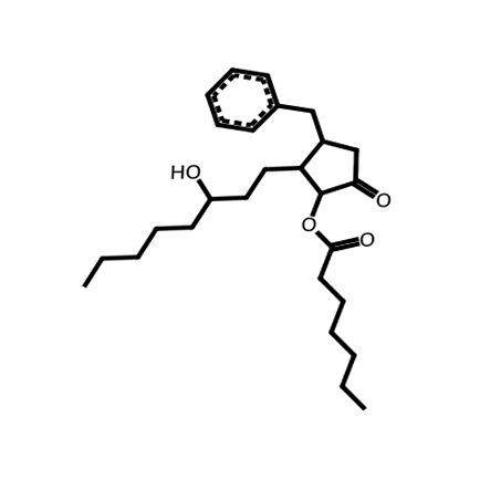 CCCCCCC(=O)OC1C(=O)CC(Cc2ccccc2)C1CCC(O)CCCCC